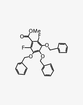 COC(=O)c1c(F)c(OCc2ccccc2)c(OCc2ccccc2)c(OCc2ccccc2)c1F